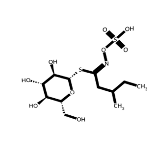 CCC(C)C/C(=N/OS(=O)(=O)O)S[C@@H]1O[C@H](CO)[C@@H](O)[C@H](O)[C@H]1O